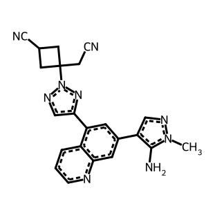 Cn1ncc(-c2cc(-c3cnn(C4(CC#N)CC(C#N)C4)n3)c3cccnc3c2)c1N